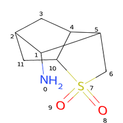 NC1C2CC3C1CS(=O)(=O)C3C2